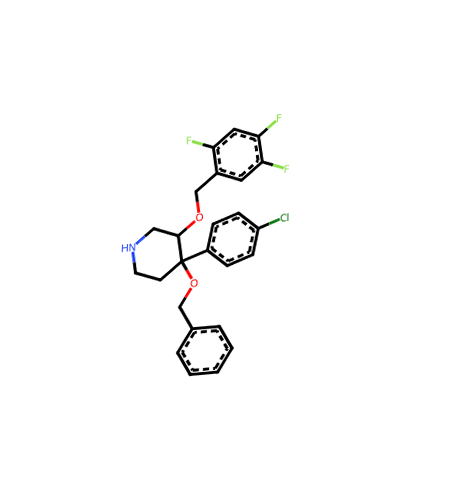 Fc1cc(F)c(COC2CNCCC2(OCc2ccccc2)c2ccc(Cl)cc2)cc1F